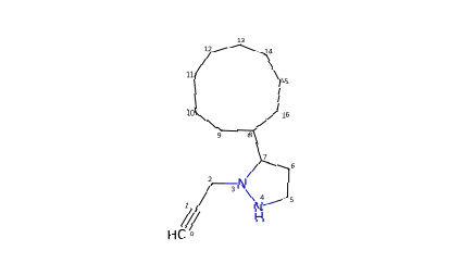 C#CCN1NCCC1C1CCCCCCCC1